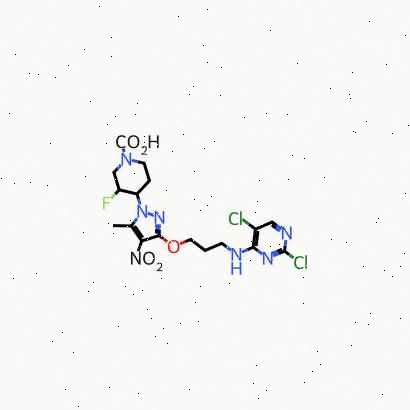 Cc1c([N+](=O)[O-])c(OCCCNc2nc(Cl)ncc2Cl)nn1C1CCN(C(=O)O)CC1F